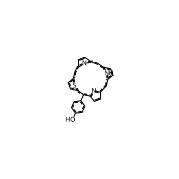 Oc1ccc(-c2c3nc(cc4ccc(cc5nc(cc6ccc2s6)C=C5)[nH]4)C=C3)cc1